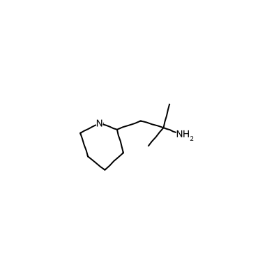 CC(C)(N)CC1CCCC[N]1